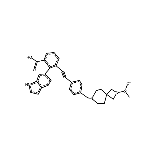 C[S+]([O-])N1CC2(CCN(Cc3ccc(C#Cc4cccc(C(=O)O)c4-c4ccc5cc[nH]c5c4)cc3)CC2)C1